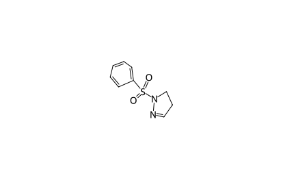 O=S(=O)(c1ccccc1)N1CCC=N1